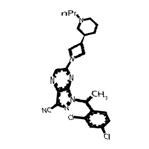 CCCN1CCC[C@@H](C2CN(c3cnc4c(C#N)nn(C(C)c5ccc(Cl)cc5Cl)c4n3)C2)C1